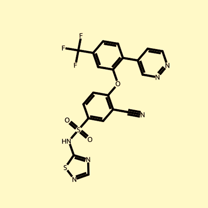 N#Cc1cc(S(=O)(=O)Nc2ncns2)ccc1Oc1cc(C(F)(F)F)ccc1-c1ccnnc1